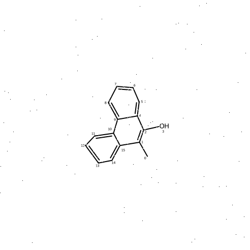 Cc1c(O)c2ccccc2c2ccccc12